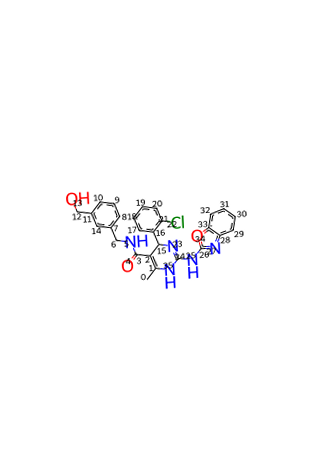 CC1=C(C(=O)NCc2cccc(CO)c2)C(c2ccccc2Cl)N=C(Nc2nc3ccccc3o2)N1